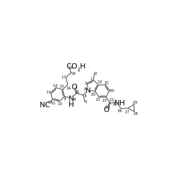 Cc1cn(C(C)C(=O)Nc2cc(C#N)ccc2CCCC(=O)O)c2cc(C(=O)NCC3CC3)ccc12